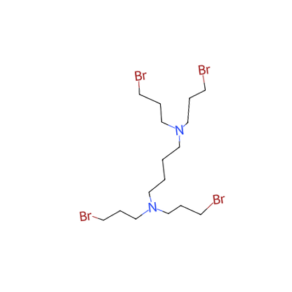 BrCCCN(CCCBr)CCCCN(CCCBr)CCCBr